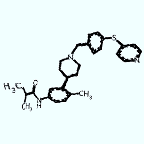 Cc1ccc(NC(=O)C(C)C)cc1C1CCN(Cc2ccc(Sc3ccncc3)cc2)CC1